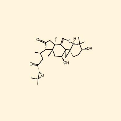 C[C@H](CC(=O)[C@@H]1OC1(C)C)[C@H]1C(=O)C[C@@]2(C)C3=CC[C@H]4C(C)(C)[C@@H](O)CC[C@@]45C[C@@]35[C@@H](O)C[C@]12C